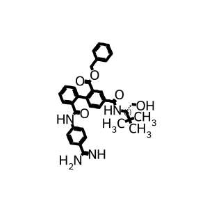 CC(C)(C)[C@@H](CO)NC(=O)c1ccc(-c2ccccc2C(=O)Nc2ccc(C(=N)N)cc2)c(C(=O)OCc2ccccc2)c1